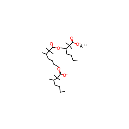 CCCCC(C)C(C)(C)C(=O)[O-].CCCCC(C)C(C)(C)C(=O)[O-].CCCCC(C)C(C)(C)C(=O)[O-].[Al+3]